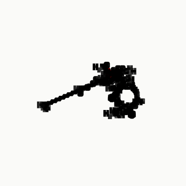 CCCC[C@H](NC(=O)[C@H](CN(CC(=O)O)CC(=O)O)NC(=O)[C@H](CC1=CCC=N1)NC(=O)[C@H](CCC(N)=O)NC(=O)[C@H](CO)NC(=O)CNC(=O)COCCOCCNC(=O)CCCCCCCCCCCCCCCc1nnn[nH]1)C(=O)N[C@H]1CCC(=O)CCCCC[C@@H](C(C)=O)NC(=O)[C@H](Cc2c[nH]c3ccccc23)NC(=O)[C@H](CCCNC(=N)N)NC(=O)[C@@H](Cc2ccccc2)NC(=O)[C@@H]2C[C@@H](O)CN2C1=O